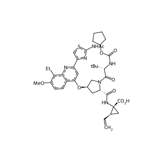 C=C[C@@H]1C[C@]1(NC(=O)[C@@H]1C[C@@H](Oc2cc(-c3csc(NC(C)=O)n3)nc3c(CC)c(OC)ccc23)CN1C(=O)[C@@H](NC(=O)OC1CCCC1)C(C)(C)C)C(=O)O